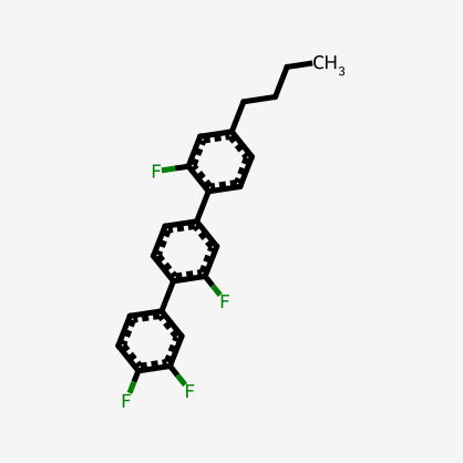 CCCCc1ccc(-c2ccc(-c3ccc(F)c(F)c3)c(F)c2)c(F)c1